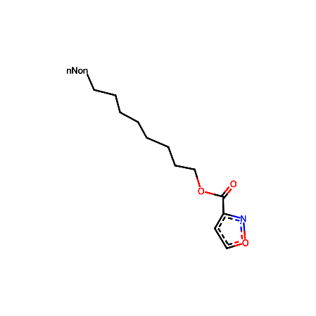 CCCCCCCCCCCCCCCCCOC(=O)c1ccon1